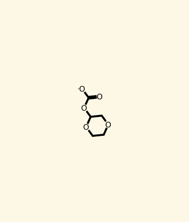 [O]C(=O)OC1COCCO1